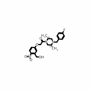 C[C@@H]1CN(Cc2ccc(F)cc2)[C@@H](C)CN1C(=O)COc1ccc([N+](=O)[O-])c(CO)c1